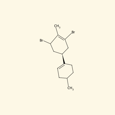 CC1=C(Br)C[C@@H](C2=CCC(C)CC2)CC1Br